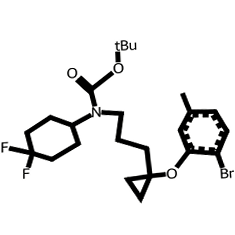 Cc1ccc(Br)c(OC2(CCCN(C(=O)OC(C)(C)C)C3CCC(F)(F)CC3)CC2)c1